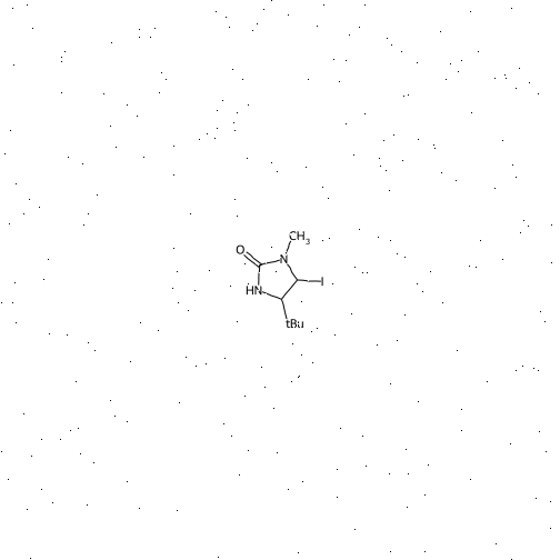 CN1C(=O)NC(C(C)(C)C)C1I